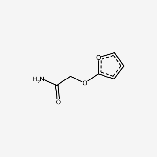 NC(=O)COc1ccco1